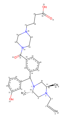 C=CCN1C[C@H](C)N(C(c2cccc(O)c2)c2cccc(C(=O)N3CCN(CCCC(=O)O)CC3)c2)C[C@H]1C